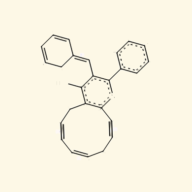 Cc1c(/C=C2/C=CC=CC2)c(-c2ccccc2)nc2c1C/C=C\C=C/C/C=C\2